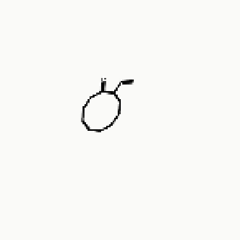 C=CC1CCCCCCCCC1=O